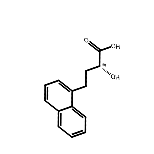 O=C(O)[C@H](O)CCc1cccc2ccccc12